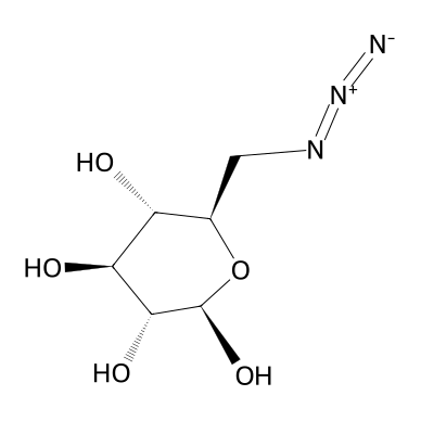 [N-]=[N+]=NC[C@H]1O[C@@H](O)[C@H](O)[C@@H](O)[C@@H]1O